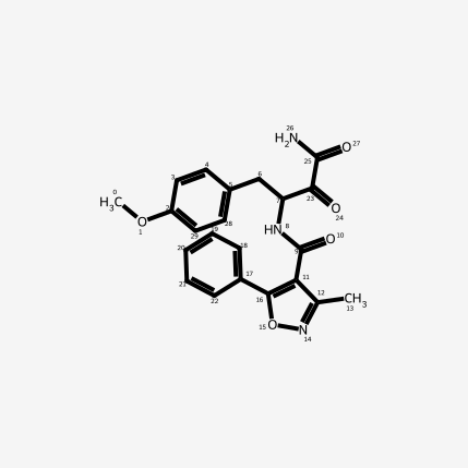 COc1ccc(CC(NC(=O)c2c(C)noc2-c2ccccc2)C(=O)C(N)=O)cc1